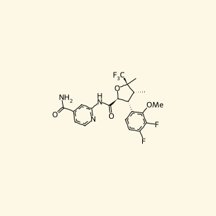 COc1c([C@@H]2[C@@H](C(=O)Nc3cc(C(N)=O)ccn3)O[C@@](C)(C(F)(F)F)[C@@H]2C)ccc(F)c1F